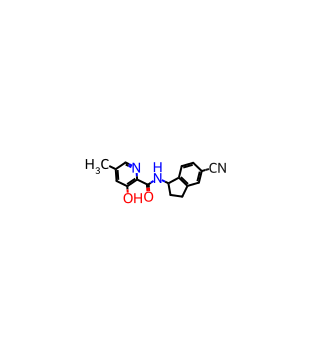 Cc1cnc(C(=O)NC2CCc3cc(C#N)ccc32)c(O)c1